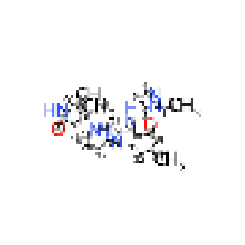 CCn1nccc1C(=O)N[C@H](c1cn2nc(CC3CC(C)(C)CNC3=O)ccc2n1)[C@H]1CC[C@H](C)CC1